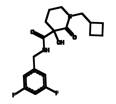 O=C(NCc1cc(F)cc(F)c1)C1(O)CCCN(CC2CCC2)C1=O